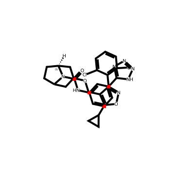 O=C(Nc1cccc(-c2nnn[nH]2)c1)N1C2CC[C@H]1CC(OCc1c(-c3c(Cl)cccc3Cl)noc1C1CC1)C2